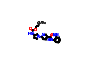 COCCOC(=O)NC1CCN(c2ccc(C(=O)Nc3ccccc3N)cn2)C1